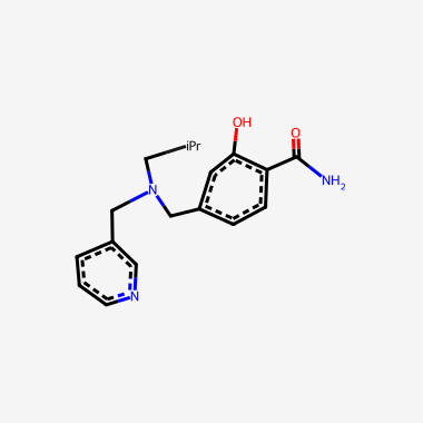 CC(C)CN(Cc1cccnc1)Cc1ccc(C(N)=O)c(O)c1